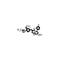 COc1cc(/C=C2\CC[C@H]3C[C@@H](O)C[C@H](c4ccc(F)cc4)N3C2=O)ccc1-n1cnc(C)c1